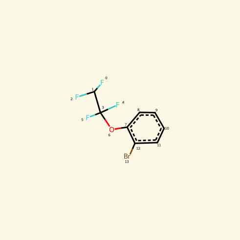 FC(F)C(F)(F)Oc1ccccc1Br